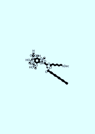 C#CC#CC#CC#CC#CC(=O)OC[C@H](COP(=O)(O)OC1C(O)[C@H](OP(=O)(O)O)[C@H](OP(=O)(O)O)C(OP(=O)(O)O)[C@@H]1O)OC(=O)CCCCCCCCCCCCCCC